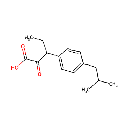 CCC(C(=O)C(=O)O)c1ccc(CC(C)C)cc1